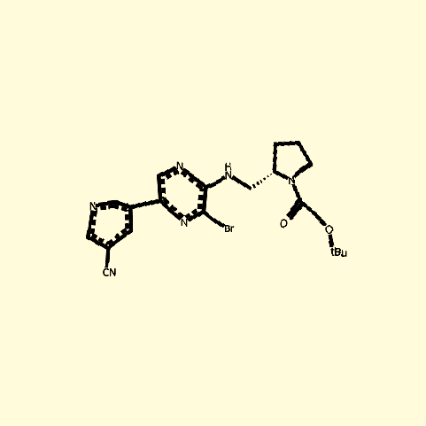 CC(C)(C)OC(=O)N1CCC[C@H]1CNc1ncc(-c2cncc(C#N)c2)nc1Br